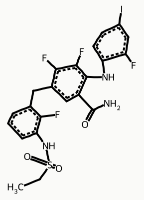 CCS(=O)(=O)Nc1cccc(Cc2cc(C(N)=O)c(Nc3ccc(I)cc3F)c(F)c2F)c1F